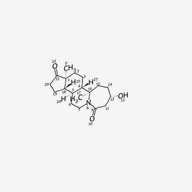 C[C@]12CC[C@H]3[C@@H](CCN4C(=O)C[C@@H](O)CC[C@]34C)[C@@H]1CCC2=O